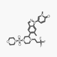 Cc1cc2c(cnn2-c2ccc(=O)n(C)c2)cc1C1CN(S(=O)(=O)N2CCOCC2)CCN1CCC(F)(F)F